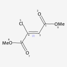 COC(=O)/C=C(\Cl)C(=O)OC